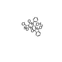 CC(c1nc2onc(Cl)c2c(=O)n1-c1ccccc1)N1C(=O)c2ccccc2C1=O